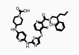 CCCC(CN(O)C(=O)c1nccc(Sc2cnc(Nc3ccc(NC4CCN(C(=O)O)CC4)cn3)s2)c1F)c1ccccc1